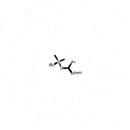 CCCCCC(O[Si](C)(C)C(C)(C)C)C(C)=O